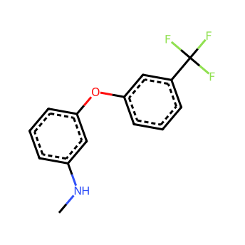 CNc1cccc(Oc2cccc(C(F)(F)F)c2)c1